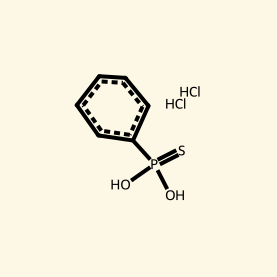 Cl.Cl.OP(O)(=S)c1ccccc1